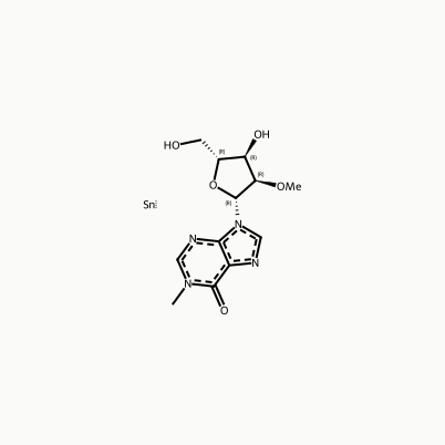 CO[C@@H]1[C@H](O)[C@@H](CO)O[C@H]1n1cnc2c(=O)n(C)cnc21.[Sn]